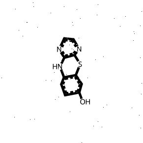 Oc1ccc2c(c1)Sc1nccnc1N2